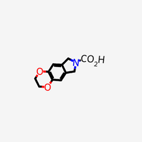 O=C(O)N1Cc2cc3c(cc2C1)OCCO3